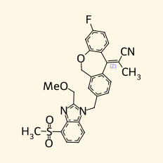 COCc1nc2c(S(C)(=O)=O)cccc2n1Cc1ccc2c(c1)COc1cc(F)ccc1/C2=C(/C)C#N